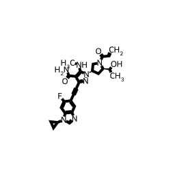 C=CC(=O)N1C[C@@H](n2nc(C#Cc3cc4ncn(C5CC5)c4cc3F)c(C(N)=O)c2NC)C[C@@H]1C(C)O